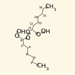 CCCCCCC(OO)OOC(CCCCCC)OO